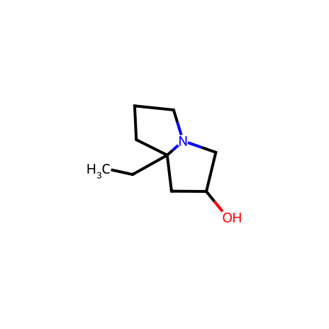 CCC12CCCN1CC(O)C2